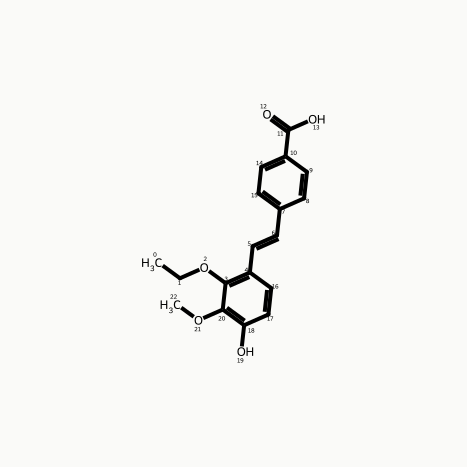 CCOc1c(/C=C/c2ccc(C(=O)O)cc2)ccc(O)c1OC